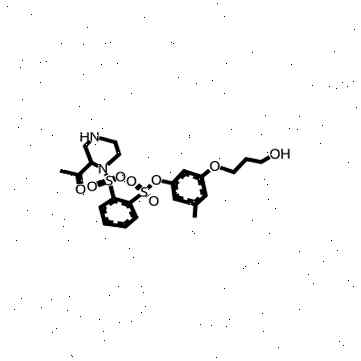 CC(=O)C1CNCCN1S(=O)(=O)c1ccccc1S(=O)(=O)Oc1cc(C)cc(OCCCO)c1